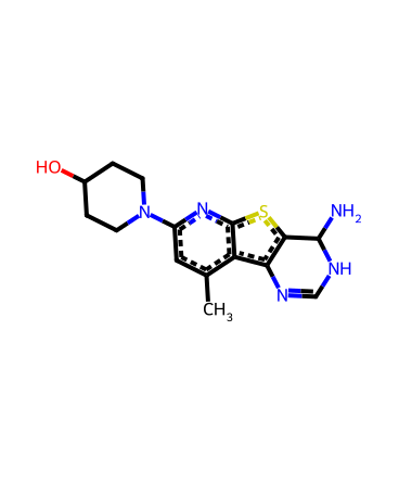 Cc1cc(N2CCC(O)CC2)nc2sc3c(c12)N=CNC3N